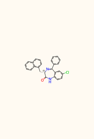 O=C1Nc2ccc(Cl)cc2C(c2ccccc2)=N[C@H]1Cc1cccc2ccccc12